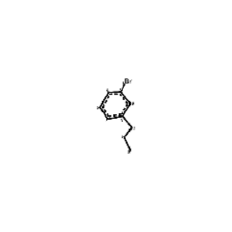 CC[CH]c1cccc(Br)c1